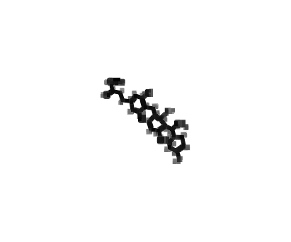 COC(=O)CCc1cc(Cl)c(Cc2ccc(O)c(C(C)c3ccc(F)cc3)c2F)c(Cl)c1